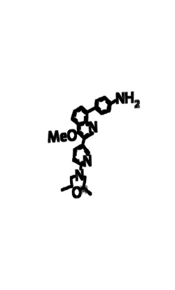 COc1c(-c2ccc(N3CC(C)O[C@H](C)C3)nc2)cnc2c(-c3ccc(N)cc3)cccc12